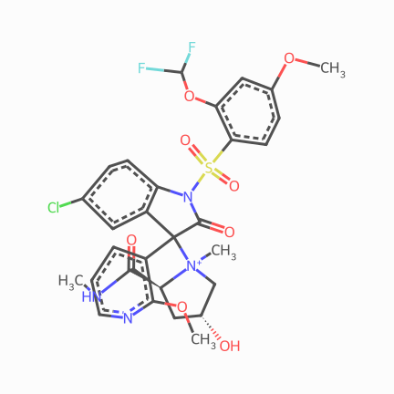 CNC(=O)[C@@H]1C[C@@H](O)C[N+]1(C)C1(c2cccnc2OC)C(=O)N(S(=O)(=O)c2ccc(OC)cc2OC(F)F)c2ccc(Cl)cc21